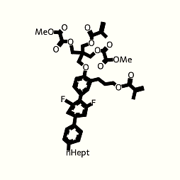 C=C(C)C(=O)OCCCc1cc(-c2c(F)cc(-c3ccc(CCCCCCC)cc3)cc2F)ccc1OCC(COC(=O)C(=C)C)(COC(=O)C(=O)OC)COC(=O)C(=O)OC